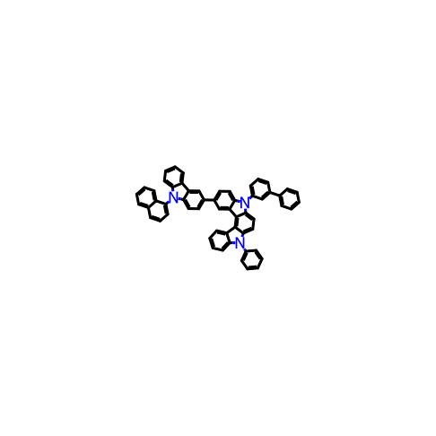 c1ccc(-c2cccc(-n3c4ccc(-c5ccc6c(c5)c5ccccc5n6-c5cccc6ccccc56)cc4c4c5c6ccccc6n(-c6ccccc6)c5ccc43)c2)cc1